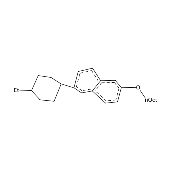 CCCCCCCCOc1ccc2cc(C3CCC(CC)CC3)ccc2c1